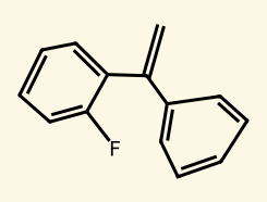 C=C(c1ccccc1)c1ccccc1F